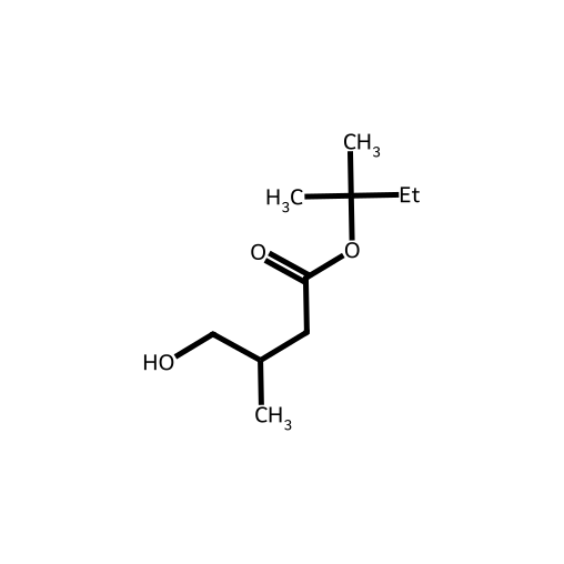 CCC(C)(C)OC(=O)CC(C)CO